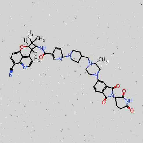 C[C@@H]1CN(c2ccc3c(c2)C(=O)N(C2CCC(=O)NC2=O)C3=O)CCN1CC1CCN(c2ccc(C(=O)NC3C(C)(C)[C@@H]4Oc5ccc(C#N)c6nccc(c56)C34C)cn2)CC1